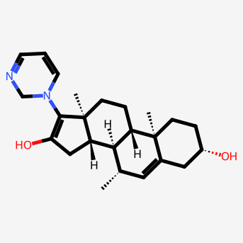 C[C@H]1C=C2C[C@@H](O)CC[C@]2(C)[C@H]2CC[C@]3(C)C(N4C=CC=NC4)=C(O)C[C@H]3[C@H]12